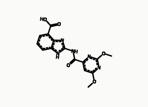 COc1cc(C(=O)Nc2nc3c(C(=O)O)cccc3[nH]2)nc(OC)n1